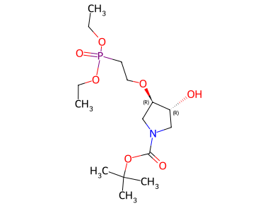 CCOP(=O)(CCO[C@@H]1CN(C(=O)OC(C)(C)C)C[C@H]1O)OCC